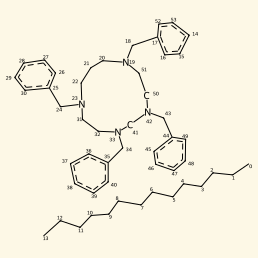 CCCCCCCCCCCCCC.c1ccc(CN2CCCN(Cc3ccccc3)CCN(Cc3ccccc3)CN(Cc3ccccc3)CC2)cc1